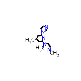 C=N/C=C\N(C)c1cc(C)cc(-n2ccnc2)n1